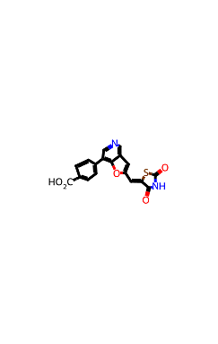 O=C1NC(=O)/C(=C/c2cc3cncc(-c4ccc(C(=O)O)cc4)c3o2)S1